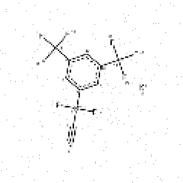 N#C[B-](F)(F)c1cc(C(F)(F)F)cc(C(F)(F)F)c1.[K+]